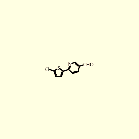 O=Cc1ccc(-c2ccc(Cl)s2)nc1